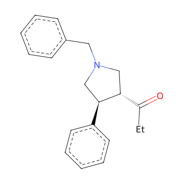 CCC(=O)[C@H]1CN(Cc2ccccc2)C[C@@H]1c1ccccc1